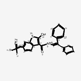 O=C(NC=C(c1ccccc1)c1ccccc1)c1c(O)sc2cc(C(F)(F)F)ccc12